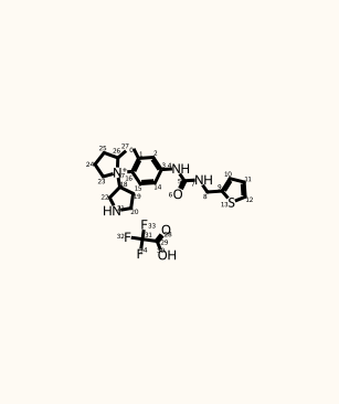 Cc1cc(NC(=O)NCc2cccs2)ccc1[N+]1(C2CCNC2)CCCC1C.O=C(O)C(F)(F)F